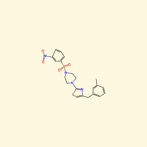 Cc1cccc(Cc2csc(N3CCN(S(=O)(=O)c4cccc([N+](=O)[O-])c4)CC3)n2)c1